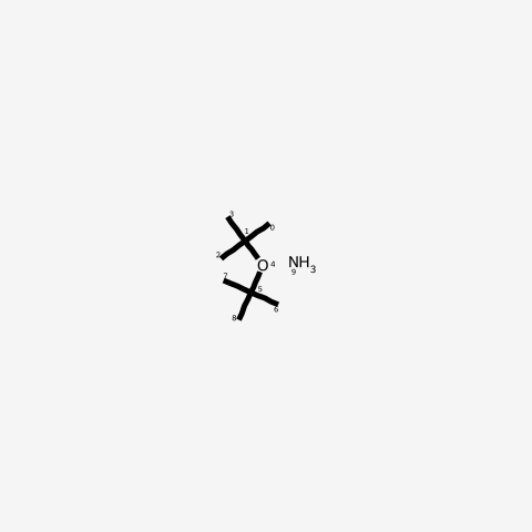 CC(C)(C)OC(C)(C)C.N